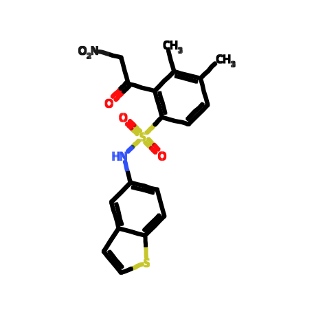 Cc1ccc(S(=O)(=O)Nc2ccc3sccc3c2)c(C(=O)C[N+](=O)[O-])c1C